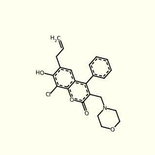 C=CCc1cc2c(-c3ccccc3)c(CN3CCOCC3)c(=O)oc2c(Cl)c1O